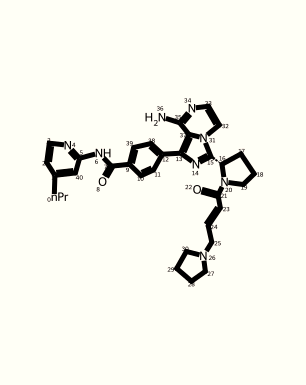 CCCc1ccnc(NC(=O)c2ccc(-c3nc([C@@H]4CCCN4C(=O)C=CCN4CCCC4)n4ccnc(N)c34)cc2)c1